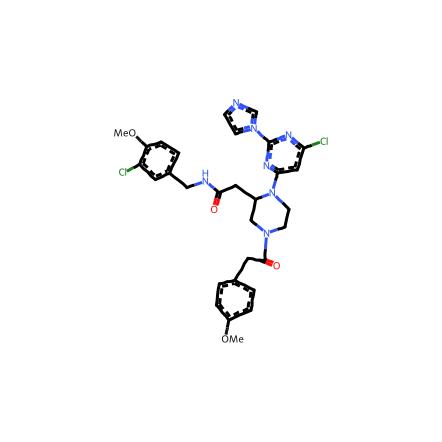 COc1ccc(CC(=O)N2CCN(c3cc(Cl)nc(-n4ccnc4)n3)C(CC(=O)NCc3ccc(OC)c(Cl)c3)C2)cc1